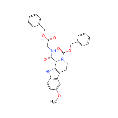 COc1ccc2[nH]c3c(c2c1)CCN(C(=O)OCc1ccccc1)C3C(=O)NCC(=O)OCc1ccccc1